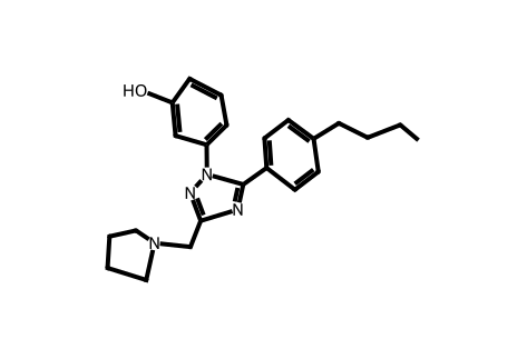 CCCCc1ccc(-c2nc(CN3CCCC3)nn2-c2cccc(O)c2)cc1